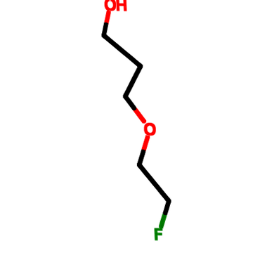 OCCCOCCF